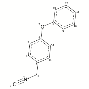 [C-]#[N+]Cc1ccc(Oc2ccccc2)cc1